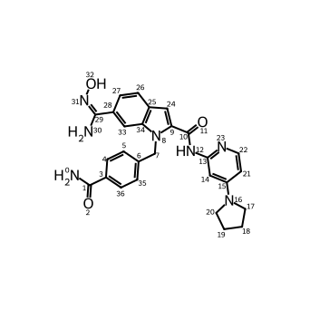 NC(=O)c1ccc(Cn2c(C(=O)Nc3cc(N4CCCC4)ccn3)cc3ccc(/C(N)=N\O)cc32)cc1